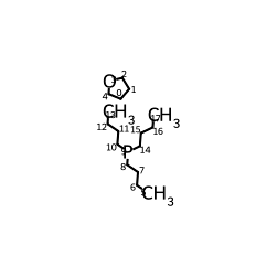 C1CCOC1.CCCCP(CCCC)CCCC